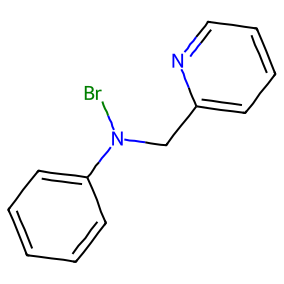 BrN(Cc1ccccn1)c1ccccc1